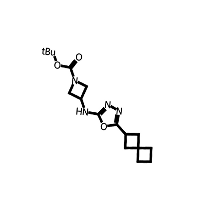 CC(C)(C)OC(=O)N1CC(Nc2nnc(C3CC4(CCC4)C3)o2)C1